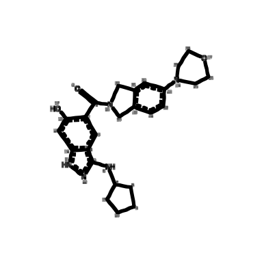 O=C(c1cc2c(NC3CCCC3)n[nH]c2cc1O)N1Cc2ccc(N3CCOCC3)cc2C1